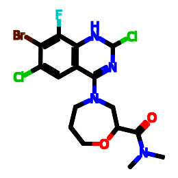 CN(C)C(=O)C1CN(C2=NC(Cl)Nc3c2cc(Cl)c(Br)c3F)CCCO1